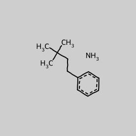 CC(C)(C)CCc1ccccc1.N